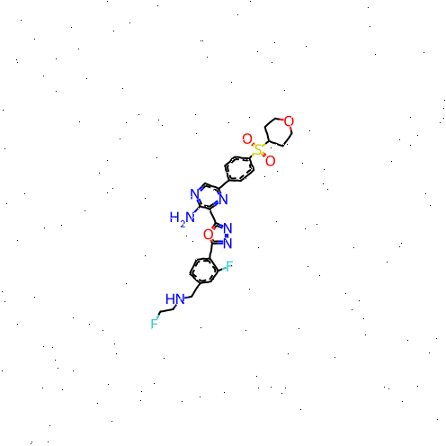 Nc1ncc(-c2ccc(S(=O)(=O)C3CCOCC3)cc2)nc1-c1nnc(-c2ccc(CNCCF)cc2F)o1